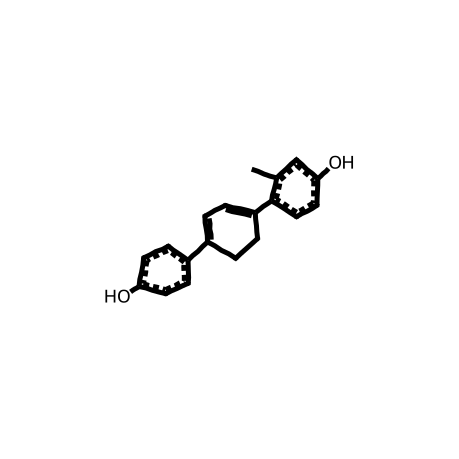 Cc1cc(O)ccc1C1=CC=C(c2ccc(O)cc2)CC1